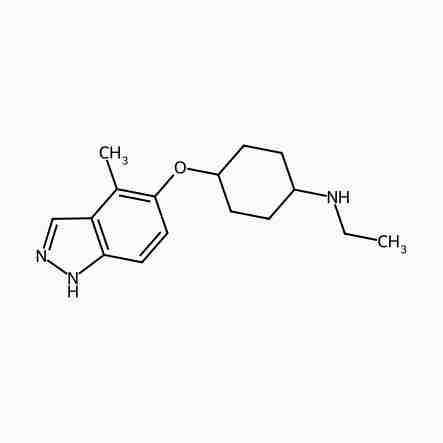 CCNC1CCC(Oc2ccc3[nH]ncc3c2C)CC1